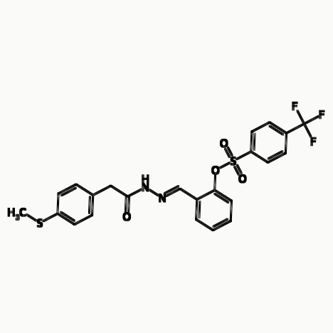 CSc1ccc(CC(=O)N/N=C/c2ccccc2OS(=O)(=O)c2ccc(C(F)(F)F)cc2)cc1